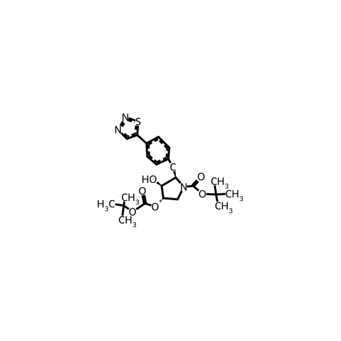 CC(C)(C)OC(=O)O[C@H]1CN(C(=O)OC(C)(C)C)[C@H](Cc2ccc(-c3cnns3)cc2)[C@@H]1O